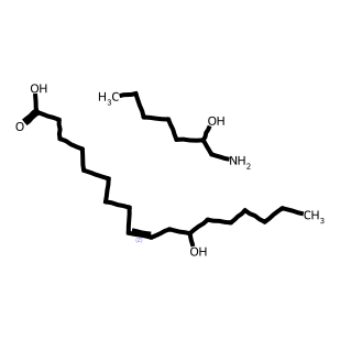 CCCCCC(O)CN.CCCCCCC(O)C/C=C\CCCCCCCC(=O)O